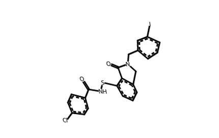 O=C(NSc1cccc2c1C(=O)N(Cc1cccc(I)c1)C2)c1ccc(Cl)cc1